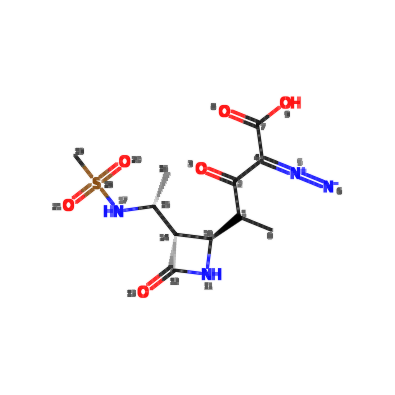 CC(C(=O)C(=[N+]=[N-])C(=O)O)[C@H]1NC(=O)[C@@H]1[C@@H](C)NS(C)(=O)=O